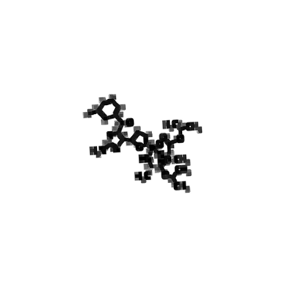 CC(C)OC(=O)[C@H](C)NP(=O)(N[C@@H](C)C(=O)OC(C)C)c1ccc(-c2nc(N)sc2C(=O)c2cccc(F)c2)o1